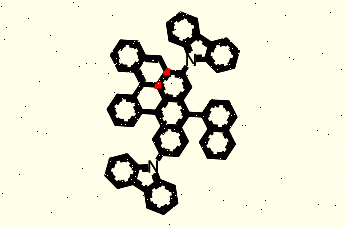 C1=c2ccccc2=C(c2ccccc2-c2c3cc(-n4c5ccccc5c5ccccc54)ccc3c(-c3cccc4ccccc34)c3cc(-n4c5ccccc5c5ccccc54)ccc23)CC1